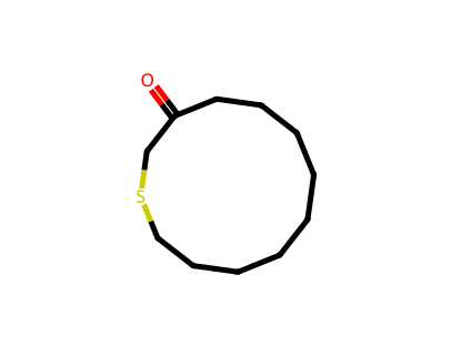 O=C1CCCCCCCCCSC1